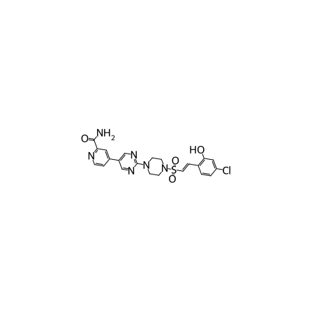 NC(=O)c1cc(-c2cnc(N3CCN(S(=O)(=O)C=Cc4ccc(Cl)cc4O)CC3)nc2)ccn1